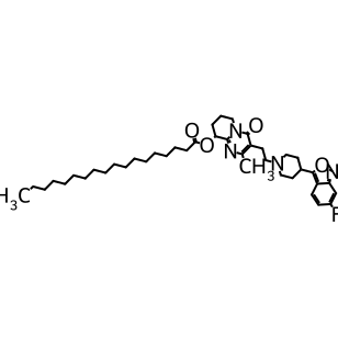 CCCCCCCCCCCCCCCCCC(=O)OC1CCCn2c1nc(C)c(CCN1CCC(c3onc4cc(F)ccc34)CC1)c2=O